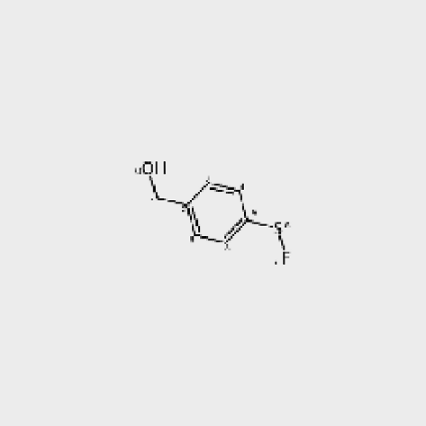 OCc1ccc(SF)cc1